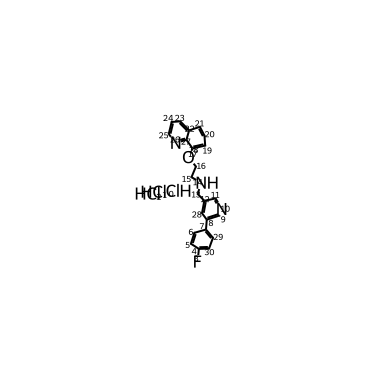 Cl.Cl.Cl.Fc1ccc(-c2cncc(CNCCOc3cccc4cccnc34)c2)cc1